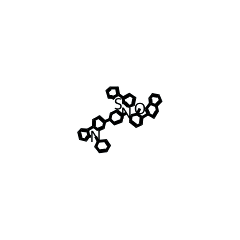 C1=CCC(n2c3ccccc3c3ccc(C4C=CC(N(c5cccc6c5sc5ccccc56)C5C=CC=C6c7ccc8ccccc8c7OC65)=CC4)cc32)C=C1